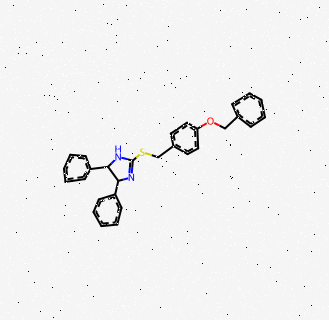 c1ccc(COc2ccc(CSC3=NC(c4ccccc4)C(c4ccccc4)N3)cc2)cc1